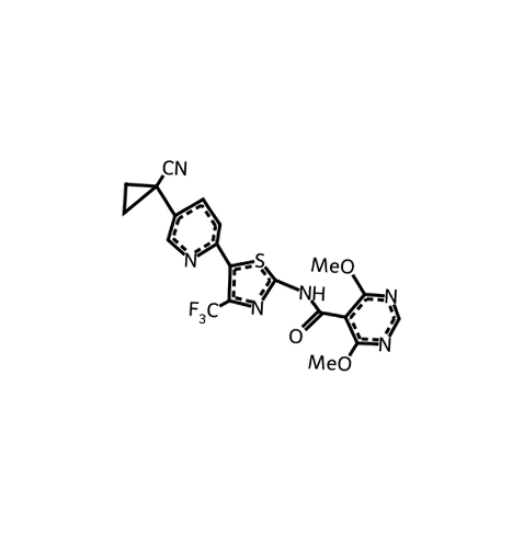 COc1ncnc(OC)c1C(=O)Nc1nc(C(F)(F)F)c(-c2ccc(C3(C#N)CC3)cn2)s1